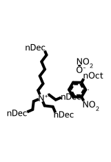 CCCCCCCCCCCCCCCC[N+](CCCCCCCCCCCC)(CCCCCCCCCCCC)CCCCCCCCCCCC.CCCCCCCCc1[c]c([N+](=O)[O-])ccc1.O=[N+]([O-])[O-]